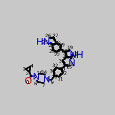 O=C(C1CC1)N1CCN(Cc2ccc(-c3cnc4[nH]cc(-c5ccc6[nH]ccc6c5)c4c3)cc2)CC1